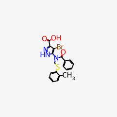 Cc1ccccc1SCN(C(=O)c1ccccc1)c1[nH]nc(C(=O)O)c1Br